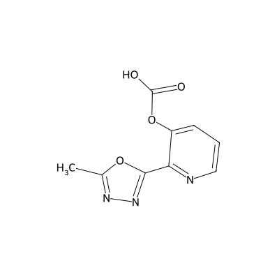 Cc1nnc(-c2ncccc2OC(=O)O)o1